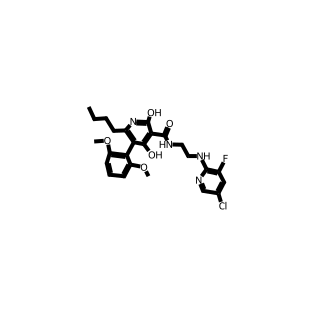 CCCCc1nc(O)c(C(=O)NCCNc2ncc(Cl)cc2F)c(O)c1-c1c(OC)cccc1OC